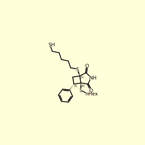 CCCCCCS[C@]12C(=O)NC(=O)[C@@]1(SCCCCCS)C[C@H]2c1ccccc1